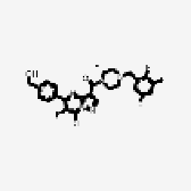 C[C@@H]1CN(Cc2cc(F)cc(F)c2F)CCN1C(=O)c1cnn2c(Cl)c(F)c(-c3ccc(CO)cc3)nc12